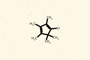 CC1=C(C)C(C)(C)[C]([Cr])=C1C